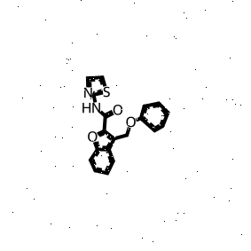 O=C(Nc1nccs1)c1oc2ccccc2c1COc1ccccc1